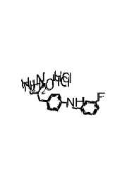 Cl.Cl.NCC(Cc1ccc(NCc2cccc(F)c2)cc1)C(N)=O